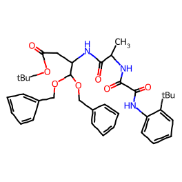 CC(NC(=O)C(=O)Nc1ccccc1C(C)(C)C)C(=O)NC(CC(=O)OC(C)(C)C)C(OCc1ccccc1)OCc1ccccc1